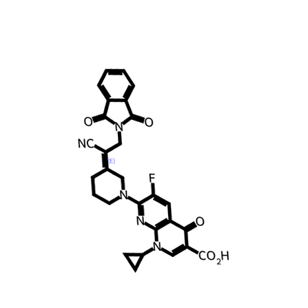 N#C/C(CN1C(=O)c2ccccc2C1=O)=C1\CCCN(c2nc3c(cc2F)c(=O)c(C(=O)O)cn3C2CC2)C1